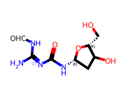 N/C(=N/C(=O)N[C@H]1CC(O)[C@@H](CO)O1)NC=O